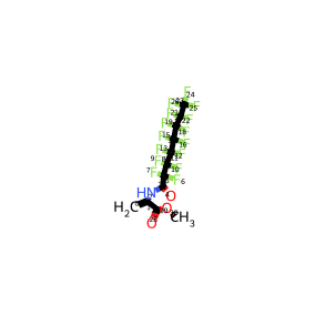 C=C(NC(=O)C(F)(F)C(F)(F)C(F)(F)C(F)(F)C(F)(F)C(F)(F)C(F)(F)F)C(=O)OC